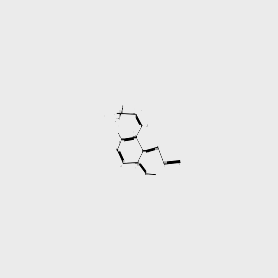 BC1(B)C=Cc2c(ccc(=C/C)/c2=C\C=C)O1